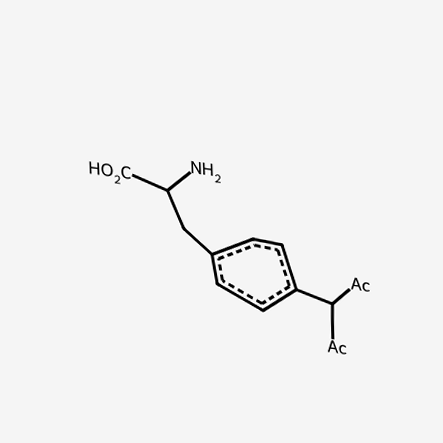 CC(=O)C(C(C)=O)c1ccc(CC(N)C(=O)O)cc1